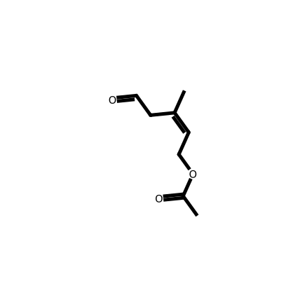 CC(=O)OCC=C(C)CC=O